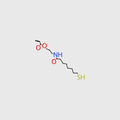 C=CC(=O)OCCCNC(=O)CCCCCCCS